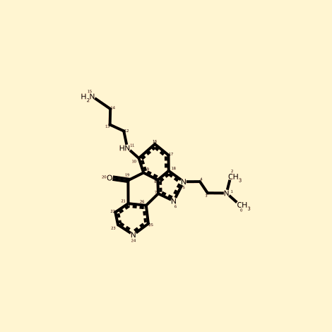 CN(C)CCn1nc2c3c(c(NCCCN)ccc31)C(=O)c1ccncc1-2